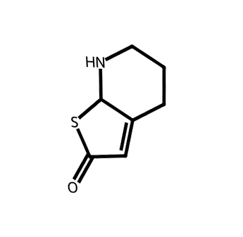 O=C1C=C2CCCNC2S1